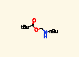 CCCCNCOC(=O)C(C)(C)C